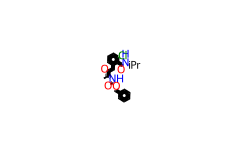 CC(C)NC(=O)c1c(Cl)cccc1CC(=O)[C@H](C)NC(=O)OCc1ccccc1